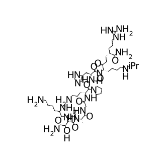 CC(C)NCCCC[C@H](NC(=O)[C@H](Cc1cnc[nH]1)NC(=O)[C@@H]1CCCN1C(=O)[C@@H](CCCN)NC(=O)CNC(=O)[C@H](C)NC(=O)[C@@H](NC(=O)[C@@H](N)CCCCN)[C@@H](O)CN)C(=O)CC[C@H](CCCNC(=N)N)C(N)=O